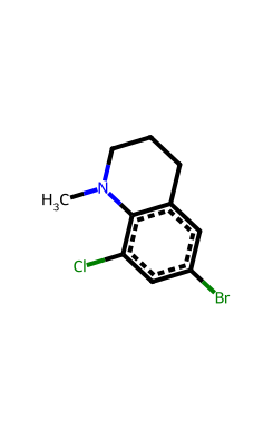 CN1CCCc2cc(Br)cc(Cl)c21